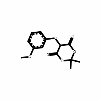 COc1cccc([I+]C2C(=O)OC(C)(C)OC2=O)c1